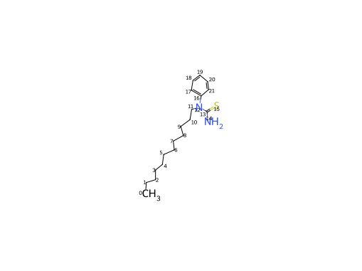 CCCCCCCCCCCCN(C(N)=S)c1ccccc1